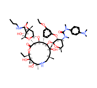 CCCNC[C@]1(O)[C@H](C)O[C@@H](O[C@H]2[C@H](C)[C@@H](O[C@@H]3O[C@H](C)C[C@H](N(C)C(=O)N(C)c4ccc(N(C)C)cc4)[C@H]3Oc3cccc(OCC)c3)[C@](C)(O)C[C@@H](C)CN[C@H](C)[C@@H](O)[C@](C)(O)[C@@H](CC)OC(=O)[C@@H]2C)C[C@@]1(C)OC